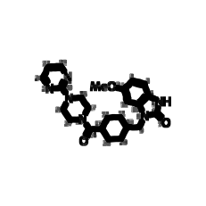 COc1ccc2[nH]c(=O)n(CC3CCC(C(=O)N4CCN(c5ncccn5)CC4)CC3)c2c1